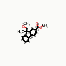 COCC1(C)c2ccccc2-c2ccc(C(=O)OC)cc21